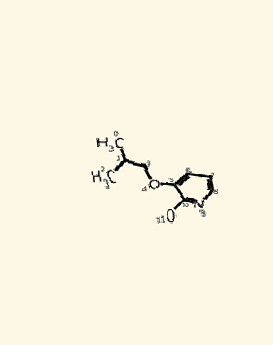 CC(C)COc1cccnc1[O]